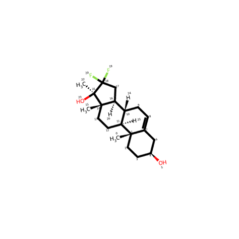 C[C@]12CC[C@H](O)CC1=CC[C@@H]1[C@@H]2CC[C@@]2(C)[C@H]1CC(F)(F)[C@]2(C)O